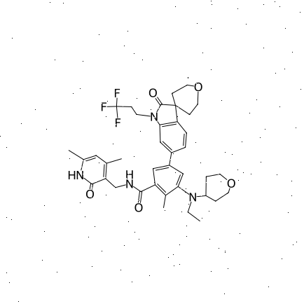 CCN(c1cc(-c2ccc3c(c2)N(CCC(F)(F)F)C(=O)C32CCOCC2)cc(C(=O)NCc2c(C)cc(C)[nH]c2=O)c1C)C1CCOCC1